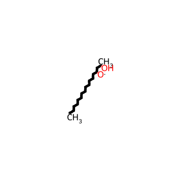 CCCCCCCCCCCCCCC([O])CC(C)O